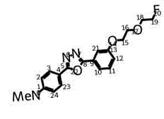 CNc1ccc(-c2nnc(-c3cccc(OCCOCCF)c3)o2)cc1